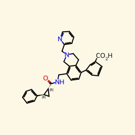 O=C(O)c1cccc(-c2ccc(CNC(=O)[C@@H]3C[C@H]3c3ccccc3)c3c2CCN(Cc2ccccn2)C3)c1